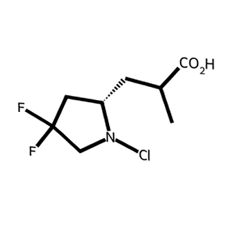 CC(C[C@H]1CC(F)(F)CN1Cl)C(=O)O